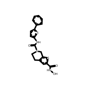 O=C(NO)c1cc2c(s1)CN(C(=O)Nc1ccc(-c3ccccc3)s1)CC2